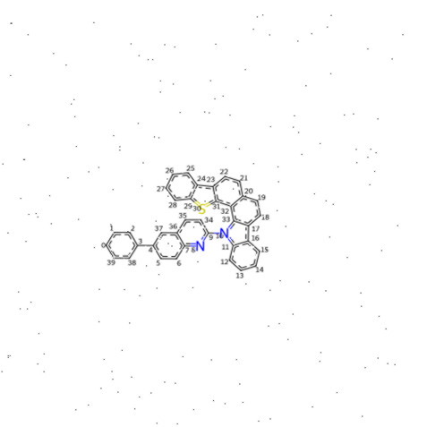 c1ccc(-c2ccc3nc(-n4c5ccccc5c5ccc6ccc7c8ccccc8sc7c6c54)ccc3c2)cc1